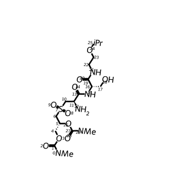 CNC(=O)OC[C@H](CS(=O)(=O)C[C@H](N)C(=O)N[C@@H](CO)C(=O)NCCOC(C)C)OC(=O)NC